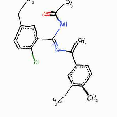 C=C(/N=C(\NC(C)=O)c1cc(CC)ccc1Cl)c1ccc(C)c(C)c1